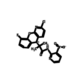 CC(C)(C(=O)Nc1ncccc1[N+](=O)[O-])[C@@H]1c2ccc(Cl)nc2Oc2c(F)cccc21